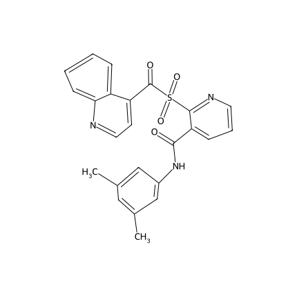 Cc1cc(C)cc(NC(=O)c2cccnc2S(=O)(=O)C(=O)c2ccnc3ccccc23)c1